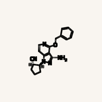 N#C[C@H]1CCC[C@@H]1n1nc(N)c2c(OCc3ccccc3)nccc21